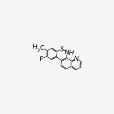 Cc1cc2c(cc1F)-c1ccc3cccnc3c1NS2